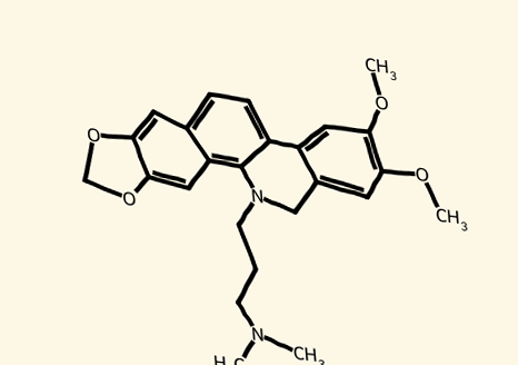 COc1cc2c(cc1OC)-c1ccc3cc4c(cc3c1N(CCCN(C)C)C2)OCO4